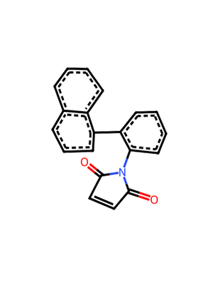 O=C1C=CC(=O)N1c1ccccc1-c1cccc2ccccc12